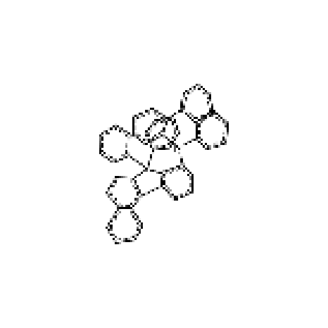 c1ccc(-c2ccccc2N(c2ccccc2)c2cccc3c2C(c2ccccc2)(c2ccccc2)c2ccc4ccccc4c2-3)cc1